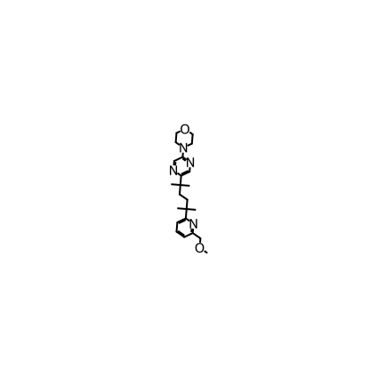 COCc1cccc(C(C)(C)CCC(C)(C)c2cnc(N3CCOCC3)cn2)n1